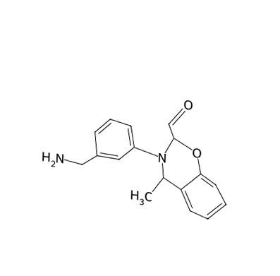 CC1c2ccccc2OC(C=O)N1c1cccc(CN)c1